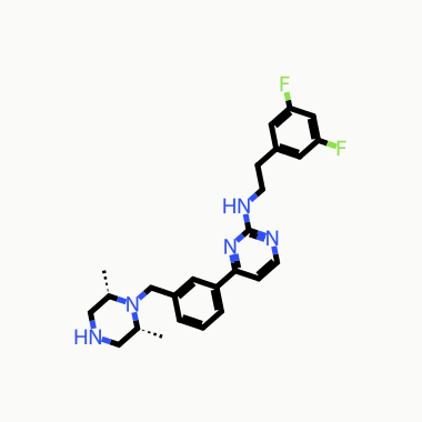 C[C@@H]1CNC[C@H](C)N1Cc1cccc(-c2ccnc(NCCc3cc(F)cc(F)c3)n2)c1